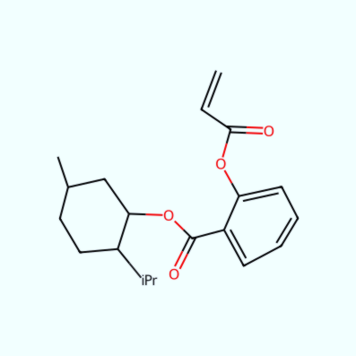 C=CC(=O)Oc1ccccc1C(=O)OC1CC(C)CCC1C(C)C